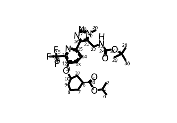 CC(C)OC(=O)[C@H]1CCCC(Oc2ccc(-c3nnn(C)c3CNC(=O)OC(C)(C)C)nc2C(F)(F)F)C1